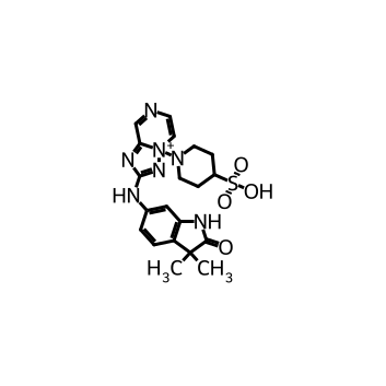 CC1(C)C(=O)Nc2cc(NC3=N[N+]4(N5CCC(S(=O)(=O)O)CC5)C=CN=CC4=N3)ccc21